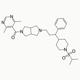 Cc1ncnc(C)c1C(=O)N1CC2CN(CCC(c3ccccc3)C3CCN(S(=O)(=O)C(C)C)CC3)CC2C1